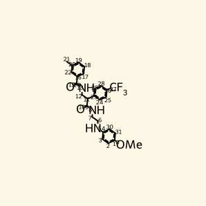 COc1ccc(NCCNC(=O)C(CNC(=O)c2cccc(C)c2)c2ccc(C(F)(F)F)cc2)cc1